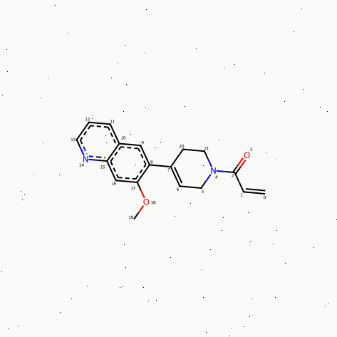 C=CC(=O)N1CC=C(c2cc3cccnc3cc2OC)CC1